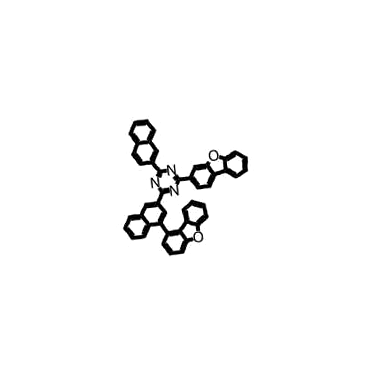 c1ccc2cc(-c3nc(-c4cc(-c5cccc6oc7ccccc7c56)c5ccccc5c4)nc(-c4ccc5c(c4)oc4ccccc45)n3)ccc2c1